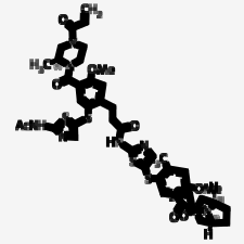 C=CC(=O)N1CCN(C(=O)c2cc(Sc3cnc(NC(C)=O)s3)c(CCC(=O)Nc3ncc(Sc4cc(C(=O)N5C[C@H]6CC[C@@H](C5)N6C(=O)C=C)c(OC)cc4C)s3)cc2OC)[C@@H](C)C1